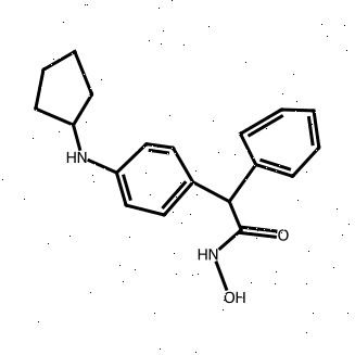 O=C(NO)C(c1ccccc1)c1ccc(NC2CCCC2)cc1